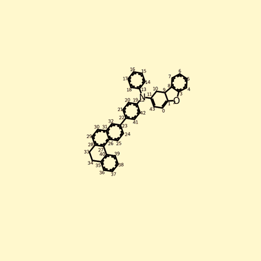 C1=C2Oc3ccccc3C2CC(N(c2ccccc2)c2ccc(-c3ccc4c5c(ccc4c3)CCc3ccccc3-5)cc2)=C1